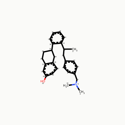 CC(Cc1ccc(CN(C)C)cc1)c1ccccc1C1CCc2cc(O)ccc2C1